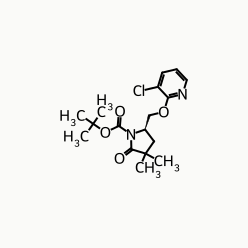 CC(C)(C)OC(=O)N1C(=O)C(C)(C)C[C@@H]1COc1ncccc1Cl